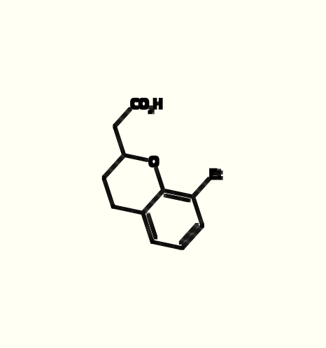 CCc1cccc2c1OC(CC(=O)O)CC2